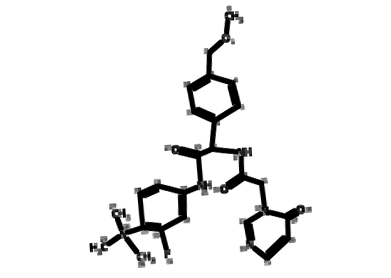 COCc1ccc(C(NC(=O)Cn2cnccc2=O)C(=O)Nc2ccc(S(C)(C)C)c(F)c2)cc1